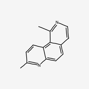 Cc1ccc2c(ccc3ccnc(C)c32)n1